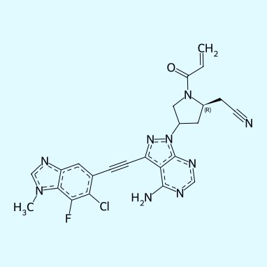 C=CC(=O)N1CC(n2nc(C#Cc3cc4ncn(C)c4c(F)c3Cl)c3c(N)ncnc32)C[C@@H]1CC#N